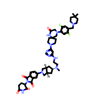 CN(CCNc1cc(N2CCC3(CC2)CN(c2cc(F)c(CN4CCC(C)(C)CC4)cc2F)CC(=O)N3)ncn1)[C@@H]1C[C@@H]2CN(c3ccc4c(c3)C(=O)N(C3CCC(=O)NC3=O)C4=O)C[C@@H]2C1